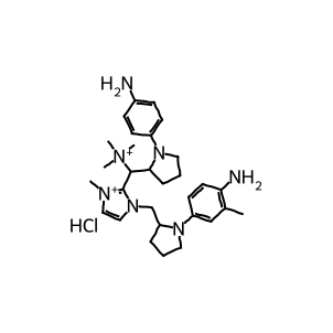 Cc1cc(N2CCCC2Cn2cc[n+](C)c2C(C2CCCN2c2ccc(N)cc2)[N+](C)(C)C)ccc1N.Cl